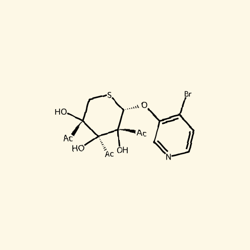 CC(=O)[C@]1(O)[C@@](O)(C(C)=O)CS[C@H](Oc2cnccc2Br)[C@@]1(O)C(C)=O